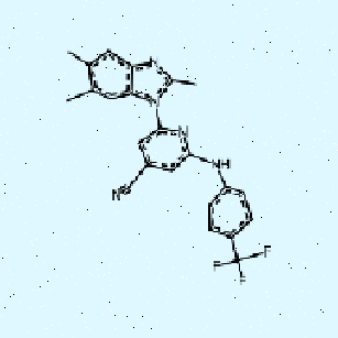 Cc1cc2nc(C)n(-c3cc(C#N)cc(Nc4ccc(C(F)(F)F)cc4)n3)c2cc1C